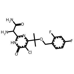 CC(C)(OCc1ccc(F)cc1F)c1nc(C(N)C(N)=O)[nH]c(=O)c1Cl